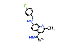 CCCC(=N)c1cc(C)nc2cc(NCc3ccc(F)cc3)ccc12